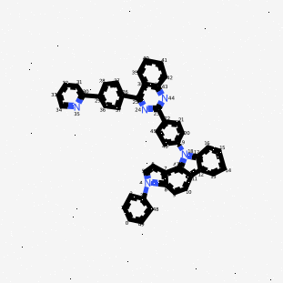 c1ccc(-n2ccc3c2ccc2c4ccccc4n(-c4ccc(-c5nc(-c6ccc(-c7ccccn7)cc6)c6ccccc6n5)cc4)c23)cc1